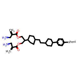 C=C(CN)C(=O)OCC(COC(=O)C(=C)CN)C1CCC(CCC2CCC(c3ccc(CCCCC)cc3)CC2)CC1